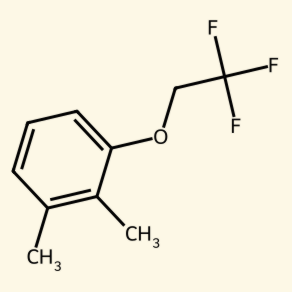 Cc1cccc(OCC(F)(F)F)c1C